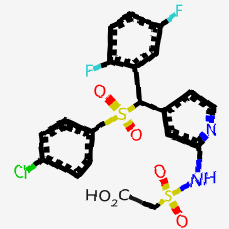 O=C(O)CS(=O)(=O)Nc1cc(C(c2cc(F)ccc2F)S(=O)(=O)c2ccc(Cl)cc2)ccn1